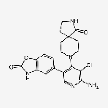 Nc1ncc(-c2ccc3oc(=O)[nH]c3c2)c(N2CCC3(CCNC3=O)CC2)c1Cl